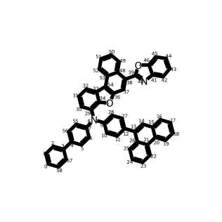 c1ccc(-c2ccc(N(c3ccc(-c4cc5ccccc5c5ccccc45)cc3)c3cccc4c3oc3cc(-c5nc6ccccc6o5)c5ccccc5c34)cc2)cc1